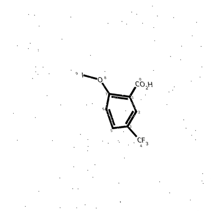 O=C(O)c1cc(C(F)(F)F)ccc1OI